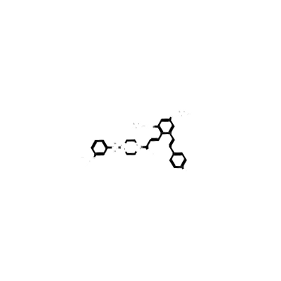 COc1cc(C=Cc2ccc(O)cc2)c(C=CC(=O)N2CCN(S(=O)(=O)c3cccc(C(F)(F)F)c3)CC2)c(OC)c1